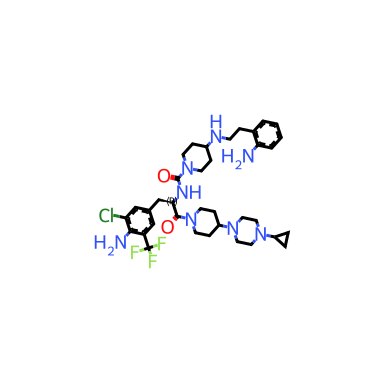 Nc1ccccc1CCNC1CCN(C(=O)N[C@H](Cc2cc(Cl)c(N)c(C(F)(F)F)c2)C(=O)N2CCC(N3CCN(C4CC4)CC3)CC2)CC1